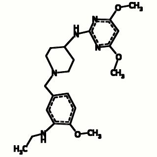 CCNc1cc(CN2CCC(Nc3nc(OC)cc(OC)n3)CC2)ccc1OC